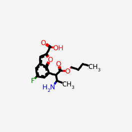 CCCCOC(=O)C(c1cc(F)cc2cc(C(=O)O)oc12)C(C)N